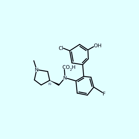 CN1CC[C@H](CN(C(=O)O)c2ccc(F)cc2-c2cc(O)cc(Cl)c2)C1